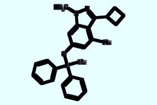 CC(C)(C)c1cc(O[Si](c2ccccc2)(c2ccccc2)C(C)(C)C)cc2c1c(C1CCC1)nn2C(=O)O